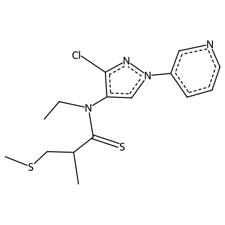 CCN(C(=S)C(C)CSC)c1cn(-c2cccnc2)nc1Cl